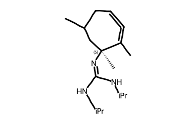 CC1=C=CCC(C)C[C@]1(C)N=C(NC(C)C)NC(C)C